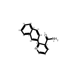 NC(=O)c1cccnc1-c1ccc2ccccc2c1